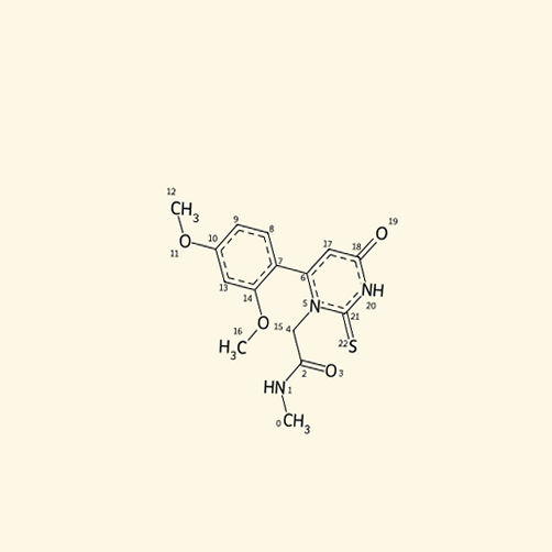 CNC(=O)Cn1c(-c2ccc(OC)cc2OC)cc(=O)[nH]c1=S